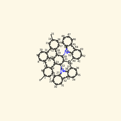 Cc1ccc2c(c1)c1cccc3c4cc(C)ccc4c4c5c6c(c2c4c13)-n1c2ccccc2c2cccc(c21)B6c1cccc2c3ccccc3n-5c12